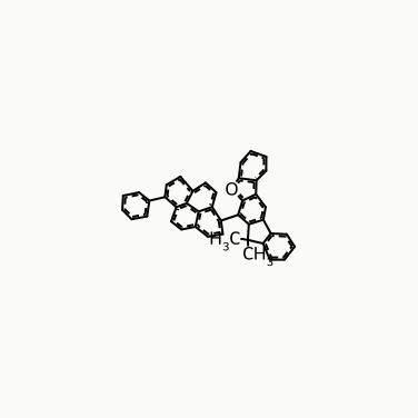 CC1(C)c2ccccc2-c2cc3c(oc4ccccc43)c(-c3ccc4ccc5c(-c6ccccc6)ccc6ccc3c4c65)c21